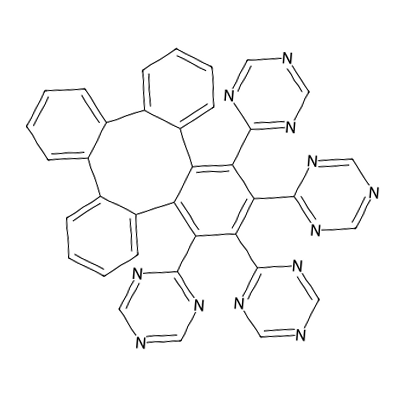 c1ccc2c(c1)-c1ccccc1-c1c(-c3ncncn3)c(-c3ncncn3)c(-c3ncncn3)c(-c3ncncn3)c1-c1ccccc1-2